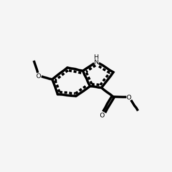 COC(=O)c1c[nH]c2cc(OC)ccc12